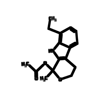 CCc1cccc2c3c([nH]c12)C(C)(OC(C)=O)OCC3